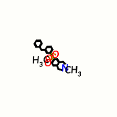 COc1cc2c(cc1S(=O)(=O)c1cccc(Cc3ccccc3)c1)CCN(C)CC2